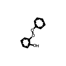 Oc1ccccc1OOc1ccccc1